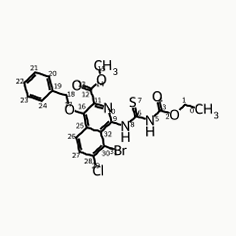 CCOC(=O)NC(=S)Nc1nc(C(=O)OC)c(OCc2ccccc2)c2ccc(Cl)c(Br)c12